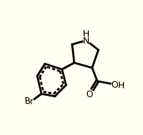 O=C(O)C1CNCC1c1ccc(Br)cc1